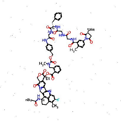 CCCCC(=O)N[C@H]1CCc2c(C)c(F)cc3nc4c(c1c23)Cn1c-4cc2c(c1=O)COC(=O)[C@@]2(CC)OC(=O)c1ccccc1CN(C)C(=O)OCc1ccc(NC(=O)CNC(=O)[C@H](Cc2ccccc2)NC(=O)CNC(=O)CNC(=O)c2cc(N3C(=O)CC(SC)C3=O)ccc2C)cc1